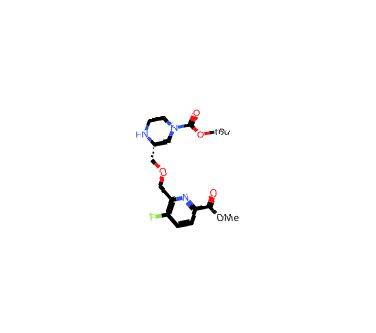 COC(=O)c1ccc(F)c(COC[C@H]2CN(C(=O)OC(C)(C)C)CCN2)n1